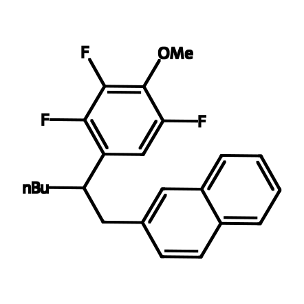 CCCCC(Cc1ccc2ccccc2c1)c1cc(F)c(OC)c(F)c1F